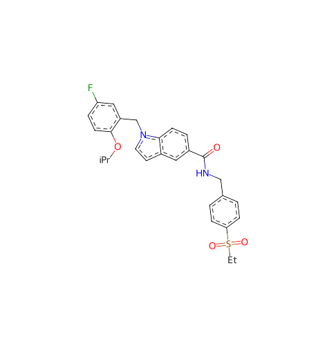 CCS(=O)(=O)c1ccc(CNC(=O)c2ccc3c(ccn3Cc3cc(F)ccc3OC(C)C)c2)cc1